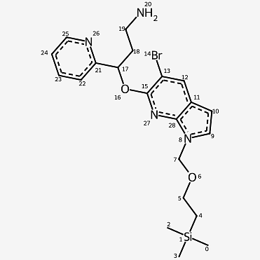 C[Si](C)(C)CCOCn1ccc2cc(Br)c(OC(CCN)c3ccccn3)nc21